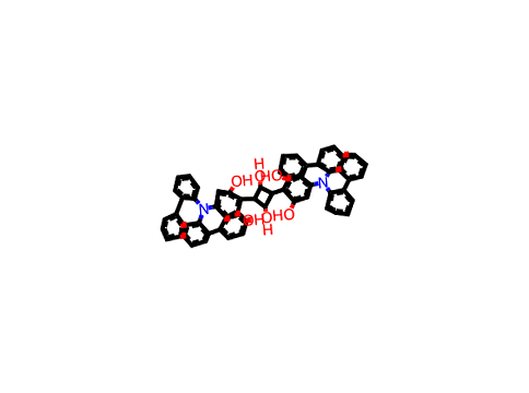 Oc1cc(N(c2ccccc2-c2ccccc2)c2ccccc2-c2ccccc2)cc(O)c1C1C(O)C(c2c(O)cc(N(c3ccccc3-c3ccccc3)c3ccccc3-c3ccccc3)cc2O)C1O